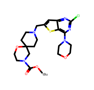 CC(C)(C)OC(=O)N1CCOC2(CCN(Cc3cc4nc(Cl)nc(N5CCOCC5)c4s3)CC2)C1